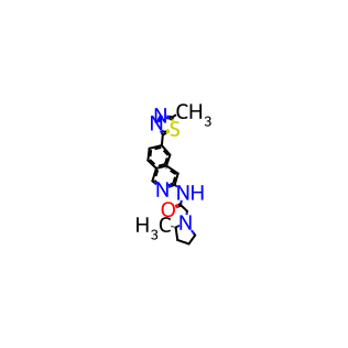 Cc1nnc(-c2ccc3cnc(NC(=O)CN4CCC[C@@H]4C)cc3c2)s1